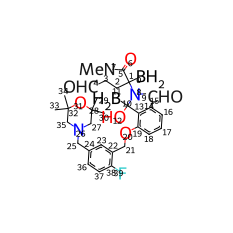 BC(CCC=O)(C(=O)NC)N(C)C(B)(O)c1c(C=O)cccc1OCc1cc(CN2CC(C)(C)OC(C)(C)C2)ccc1F